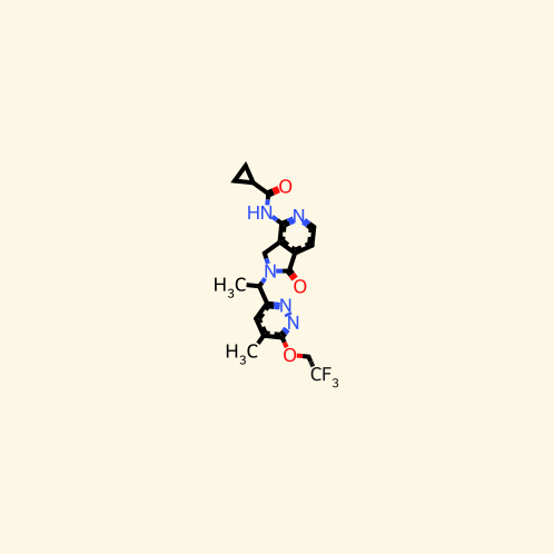 Cc1cc(C(C)N2Cc3c(ccnc3NC(=O)C3CC3)C2=O)nnc1OCC(F)(F)F